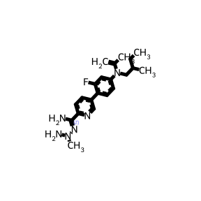 C=C(C)N(CC(C)CC)c1ccc(-c2ccc(/C(N)=N/N(C)N)nc2)c(F)c1